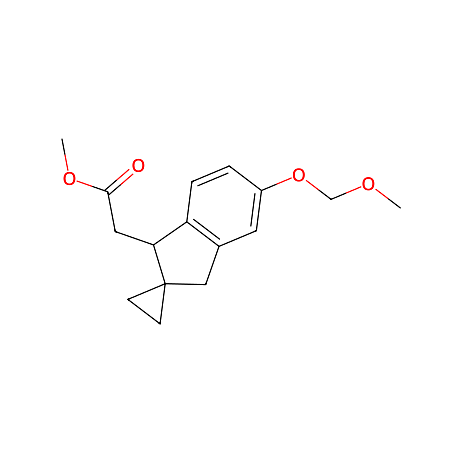 COCOc1ccc2c(c1)CC1(CC1)C2CC(=O)OC